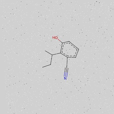 CCC(C)c1c(O)cccc1C#N